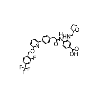 O=C(Cc1ccc(-c2cccc(OCc3ccc(C(F)(F)F)cc3F)n2)cc1)Nc1ccc(C(=O)O)cc1NCC1CCCO1